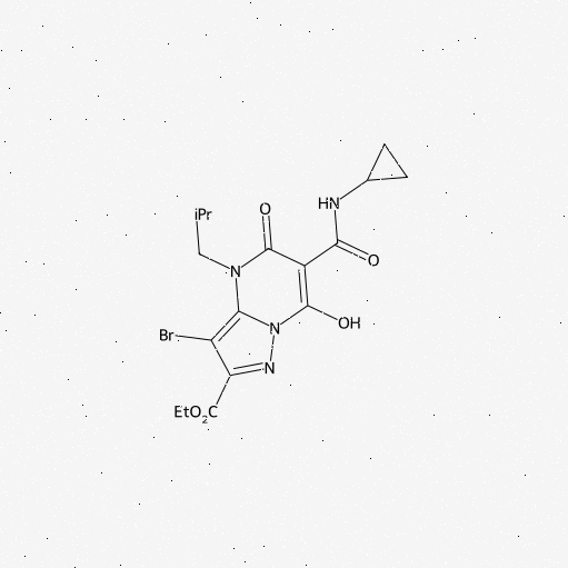 CCOC(=O)c1nn2c(O)c(C(=O)NC3CC3)c(=O)n(CC(C)C)c2c1Br